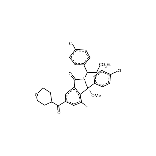 CCOC(=O)CC(c1ccc(Cl)cc1)N1C(=O)c2cc(C(=O)C3CCOCC3)cc(F)c2[C@]1(OC)c1ccc(Cl)cc1